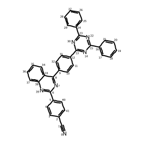 N#Cc1ccc(-c2nc(-c3ccc(-c4nc(-c5ccccc5)nc(-c5ccccc5)n4)cc3)c3ccccc3n2)cc1